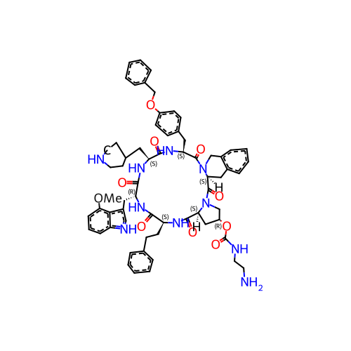 COc1cccc2[nH]cc(C[C@H]3NC(=O)[C@H](CCc4ccccc4)NC(=O)[C@@H]4C[C@@H](OC(=O)NCCN)CN4C(=O)[C@@H]4Cc5ccccc5CN4C(=O)[C@H](Cc4ccc(OCc5ccccc5)cc4)NC(=O)[C@H](CC4CCNCC4)NC3=O)c12